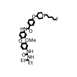 CCC(CC)NC(=O)Nc1ccc(Oc2ccc(NC(=O)c3ccc(OC4CCN(CCCCF)CC4)cc3)cc2)c(OC)c1